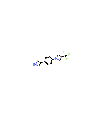 FC(F)(F)C1CN(c2ccc(C3CNC3)cc2)C1